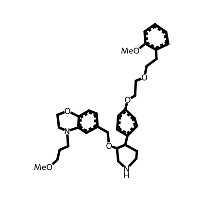 COCCCN1CCOc2ccc(COC3CNCCC3c3ccc(OCCOCCc4ccccc4OC)cc3)cc21